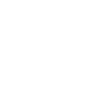 CCCCCCC(=O)[O-].CCCCCCC(=O)[O-].[Ga+3].[OH-]